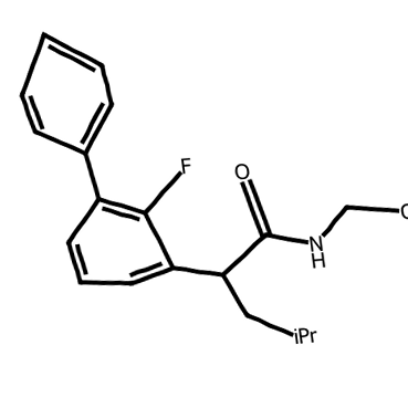 CC(C)CC(C(=O)NCC#N)c1cccc(-c2ccccc2)c1F